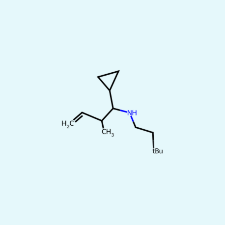 C=CC(C)C(NCCC(C)(C)C)C1CC1